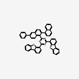 c1ccc(-c2ccc3c(-c4nc(-c5cccc6c5sc5ccccc56)nc(-c5cccc6c5sc5ccccc56)n4)c(-c4cccc5ccccc45)ccc3c2)cc1